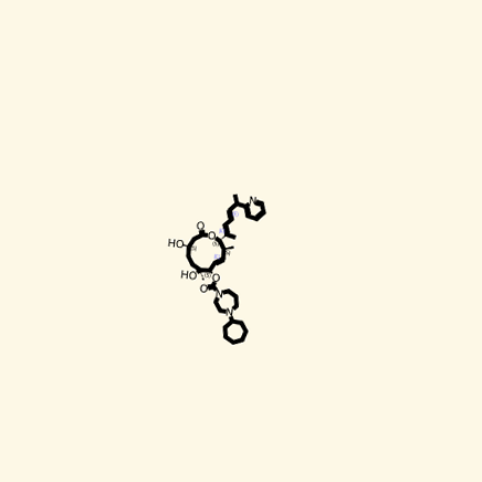 C/C(=C\C=C\C(C)c1ccccn1)[C@H]1OC(=O)C[C@@H](O)CC[C@](C)(O)[C@@H](OC(=O)N2CCCN(C3CCCCCC3)CC2)/C=C/[C@@H]1C